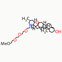 COCCOCCOCCOCCN1C[C@@H](C)C[C@H]2OC34CC[C@H]5[C@@H]6CCC7=C[C@@H](O)CCC7(C)[C@H]6CC56CC63C[C@@H]4[C@@H]21